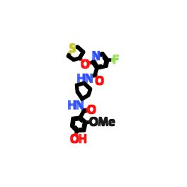 COc1cc(O)ccc1C(=O)N[C@H]1CC[C@@H](NC(=O)c2cc(F)cnc2OC2CCSCC2)CC1